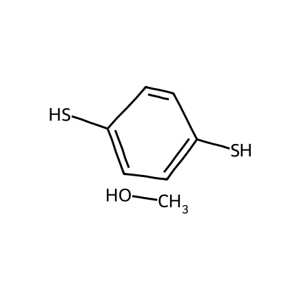 CO.Sc1ccc(S)cc1